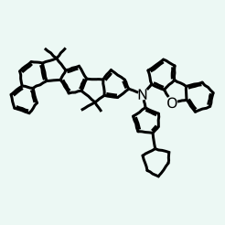 CC1(C)c2cc(N(c3ccc(C4CCCCC4)cc3)c3cccc4c3oc3ccccc34)ccc2-c2cc3c(cc21)-c1c(ccc2ccccc12)C3(C)C